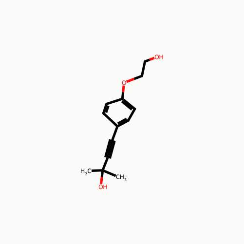 CC(C)(O)C#Cc1ccc(OCCO)cc1